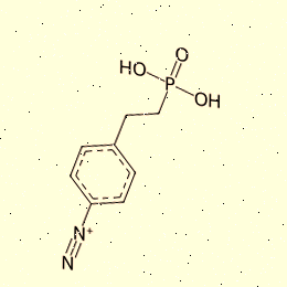 N#[N+]c1ccc(CCP(=O)(O)O)cc1